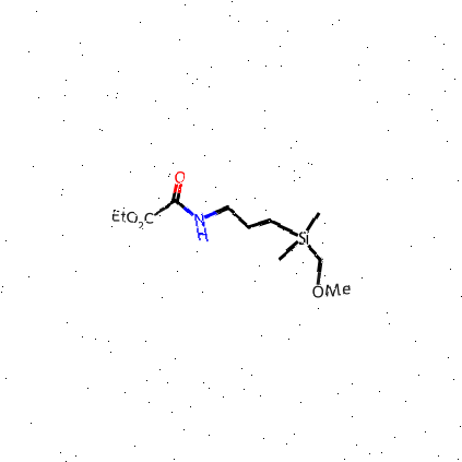 CCOC(=O)C(=O)NCCC[Si](C)(C)COC